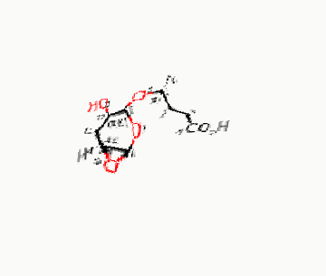 C[C@H](CCC(=O)O)O[C@H]1OC2O[C@H]2C[C@H]1O